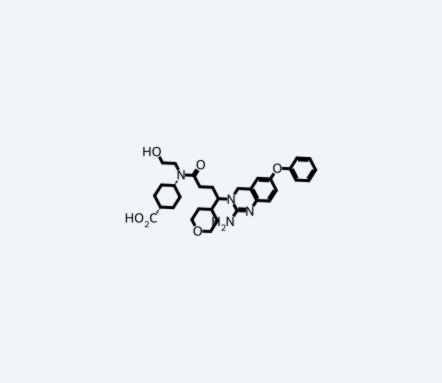 NC1=Nc2ccc(Oc3ccccc3)cc2CN1C(CCC(=O)N(CCO)[C@H]1CC[C@@H](C(=O)O)CC1)C1CCOCC1